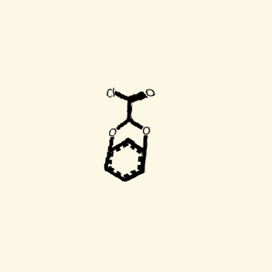 O=C(Cl)C1Oc2cccc(c2)O1